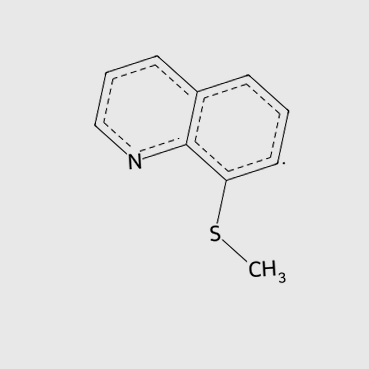 CSc1[c]ccc2cccnc12